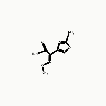 CON=C(C(N)=O)c1csc(N)n1